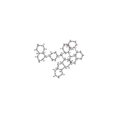 c1ccc(-c2cccc3cccc(-c4ccccc4N(c4ccc(-c5cccc6ccccc56)cc4)c4cccc5c4sc4ccccc45)c23)cc1